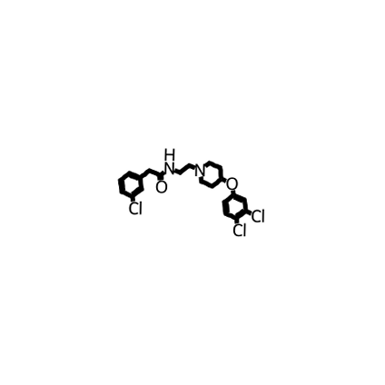 O=C(Cc1cccc(Cl)c1)NCCN1CCC(Oc2ccc(Cl)c(Cl)c2)CC1